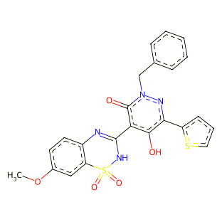 COc1ccc2c(c1)S(=O)(=O)NC(c1c(O)c(-c3cccs3)nn(Cc3ccccc3)c1=O)=N2